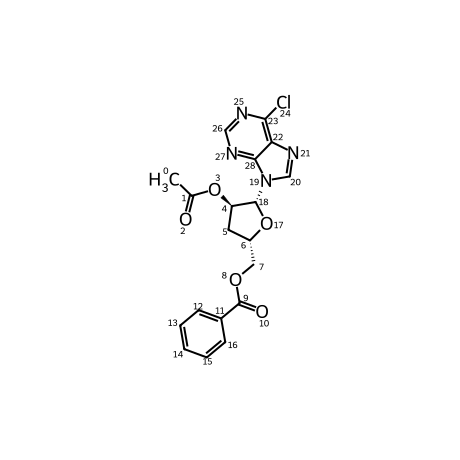 CC(=O)O[C@@H]1C[C@@H](COC(=O)c2ccccc2)O[C@H]1n1cnc2c(Cl)ncnc21